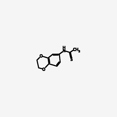 CC(=S)Nc1ccc2c(c1)OCCO2